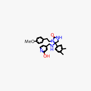 COc1ccc(CCN2C(=O)NCC2(NCc2ccnc(O)c2)c2ccc(C)c(C)c2)cc1